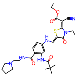 CCOC(=O)C(C#N)=c1sc(=CNc2ccc(C(=O)NCCN3CCCC3)c(NC(=O)C(C)(C)C)c2)c(=O)n1CC